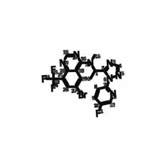 CC(c1ncnn1-c1ccc(F)cn1)N(C)c1ncnc2c(C(F)(F)F)cc(Br)cc12